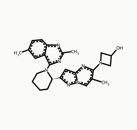 Cc1ccc2nc(C)nc(N3CCCC[C@H]3c3cc4nc(N5CC(O)C5)c(C)cn4n3)c2c1